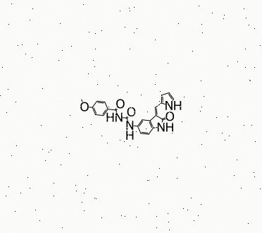 COc1ccc(C(=O)NC(=O)Nc2ccc3c(c2)C(=Cc2ccc[nH]2)C(=O)N3)cc1